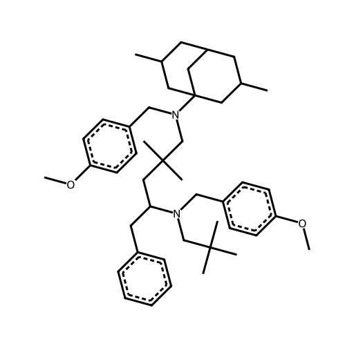 COc1ccc(CN(CC(C)(C)C)C(Cc2ccccc2)CC(C)(C)CN(Cc2ccc(OC)cc2)C23CC(C)CC(CC(C)C2)C3)cc1